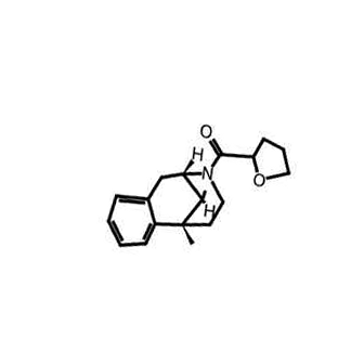 C[C@@H]1[C@@H]2Cc3ccccc3[C@@]1(C)CCN2C(=O)C1CCCO1